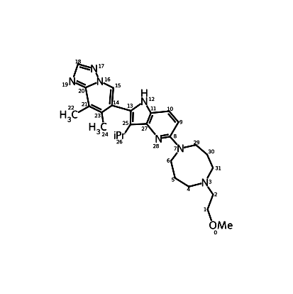 COCCN1CCCN(c2ccc3[nH]c(-c4cn5ncnc5c(C)c4C)c(C(C)C)c3n2)CCC1